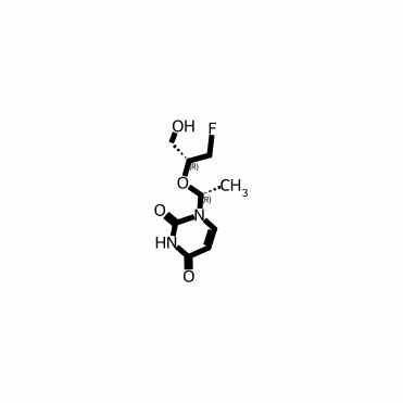 C[C@@H](O[C@H](CO)CF)n1ccc(=O)[nH]c1=O